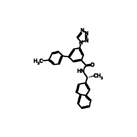 Cc1ccc(-c2cc(C(=O)N[C@H](C)c3ccc4ccccc4c3)cc(-n3cnnn3)c2)cc1